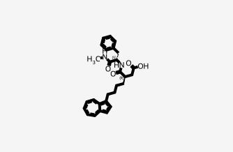 CNC(=O)[C@H](Cc1ccccc1)NC(=O)[C@H](CCCCc1ccc2cccccc1-2)CC(=O)O